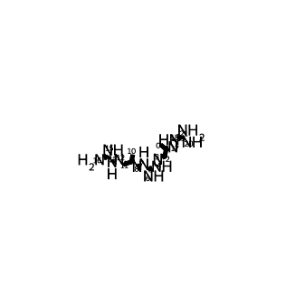 CC(/C=N/NC(=N)N/N=C(C)/C=N/NC(=N)N)=N\NC(=N)N